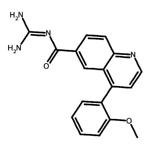 COc1ccccc1-c1ccnc2ccc(C(=O)N=C(N)N)cc12